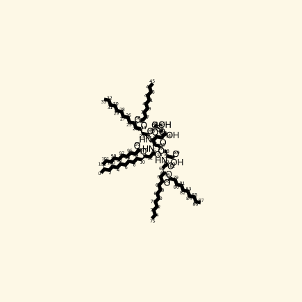 CCCCCCCCCCC[C@H](CC(=O)NC1C(NC(=O)C[C@@H](CCCCCCCCCCC)OC(=O)CCCCCCCCC)[C@H](OS(=O)(=O)O)C(CO)O[C@H]1OC[C@H](NC(=O)C[C@@H](CCCCCCCCCCC)OC(=O)CCCCCCCCC)C(=O)O)OC(=O)CCCCCCCCC